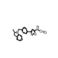 CC1Cc2ccccc2N1Cc1ccc(-c2cc(NC=O)on2)cc1